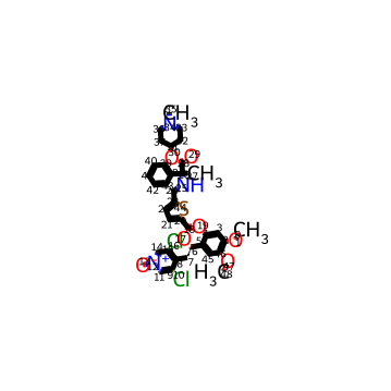 COc1ccc([C@H](Cc2c(Cl)c[n+]([O-])cc2Cl)OC(=O)c2ccc(CNC(C)(C(=O)OC3CCN(C)CC3)c3ccccc3)s2)cc1OC